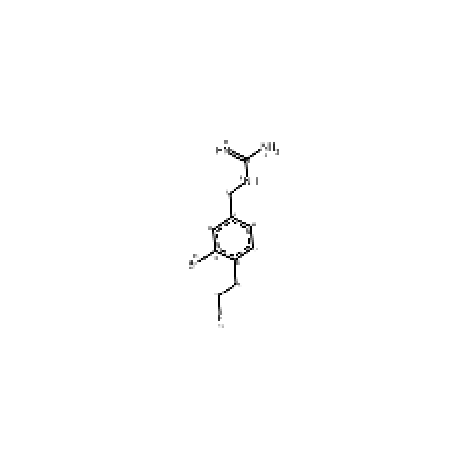 N=C(N)NCc1ccc(CCF)c(Br)c1